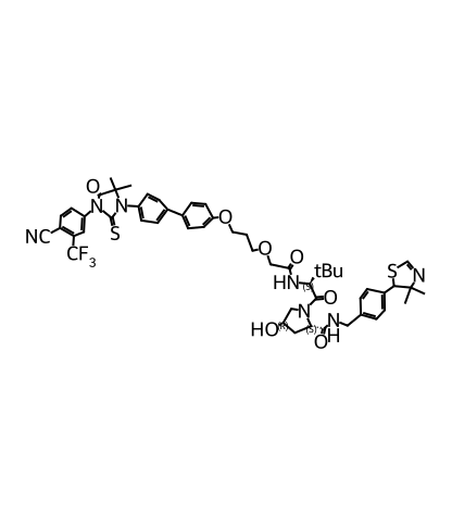 CC1(C)N=CSC1c1ccc(CNC(=O)[C@@H]2C[C@@H](O)CN2C(=O)[C@@H](NC(=O)COCCCOc2ccc(-c3ccc(N4C(=S)N(c5ccc(C#N)c(C(F)(F)F)c5)C(=O)C4(C)C)cc3)cc2)C(C)(C)C)cc1